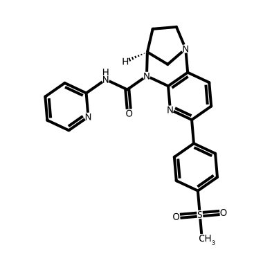 CS(=O)(=O)c1ccc(-c2ccc3c(n2)N(C(=O)Nc2ccccn2)[C@H]2CCN3C2)cc1